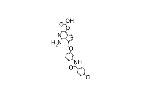 Nc1ncc(OC(=O)O)c2scc(COc3cccc(NC(=O)c4ccc(Cl)cc4)c3)c12